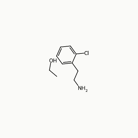 CCO.NCCc1ccccc1Cl